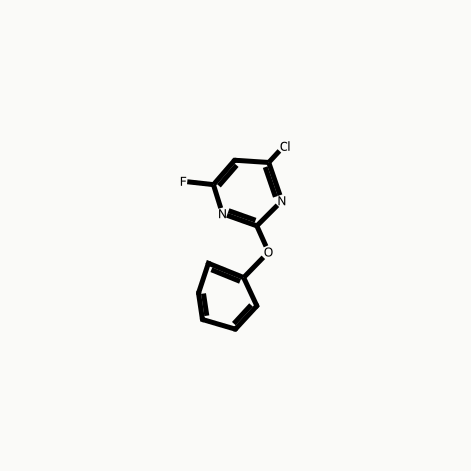 Fc1cc(Cl)nc(Oc2ccccc2)n1